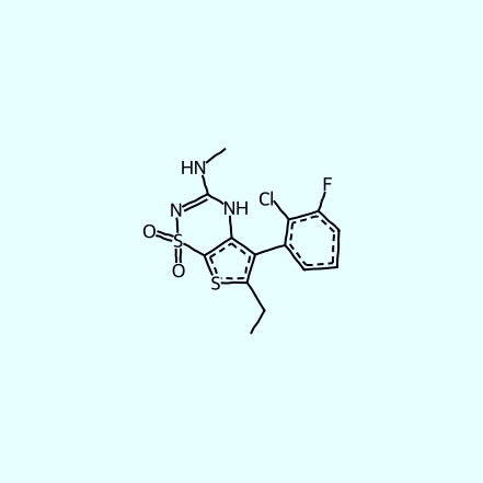 CCc1sc2c(c1-c1cccc(F)c1Cl)NC(NC)=NS2(=O)=O